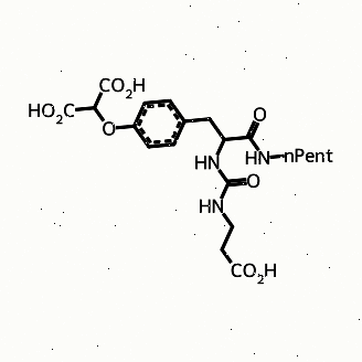 CCCCCNC(=O)C(Cc1ccc(OC(C(=O)O)C(=O)O)cc1)NC(=O)NCCC(=O)O